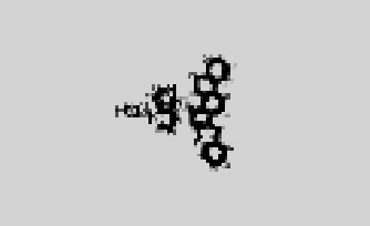 Cc1cc(Cl)c(Cc2ccccc2)c2ccc3c(c12)CCC1=C3C=CCC1.Cl.Cl.c1cnc2ccncc2c1